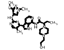 CCC(C(=O)Nc1nccc2c(-c3nc(Nc4cn(C)nc4OC)ncc3C)c[nH]c12)N1CCN(CCO)CC1